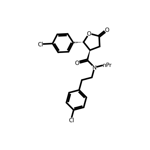 CCCN(CCc1ccc(Cl)cc1)C(=O)[C@@H]1CC(=O)O[C@H]1c1ccc(Cl)cc1